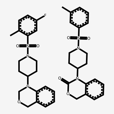 Cc1ccc(F)cc1S(=O)(=O)N1CCC(N2COCc3ccccc32)CC1.Cc1cccc(S(=O)(=O)N2CCC(N3C(=O)OCc4ccccc43)CC2)c1